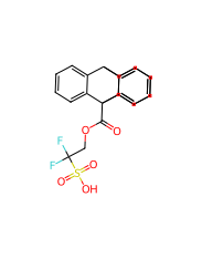 O=C(OCC(F)(F)S(=O)(=O)O)C12c3ccccc3C(c3ccccc31)c1ccccc12